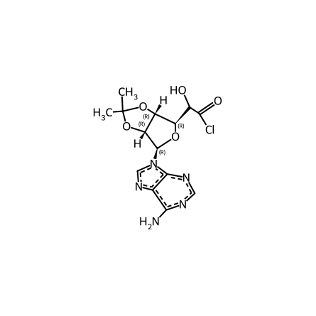 CC1(C)O[C@@H]2[C@H](O1)[C@@H](C(O)C(=O)Cl)O[C@H]2n1cnc2c(N)ncnc21